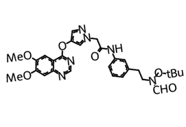 COc1cc2ncnc(Oc3cnn(CC(=O)Nc4cccc(CCN(C=O)OC(C)(C)C)c4)c3)c2cc1OC